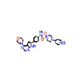 O=S(=O)(Nc1ccc(-c2cc3c(N4CCOCC4)ncnc3[nH]2)cc1)N1CCN(C2CCNCC2)CC1